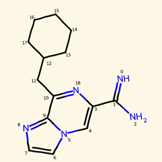 N=C(N)c1cn2ccnc2c(CC2CCCCC2)n1